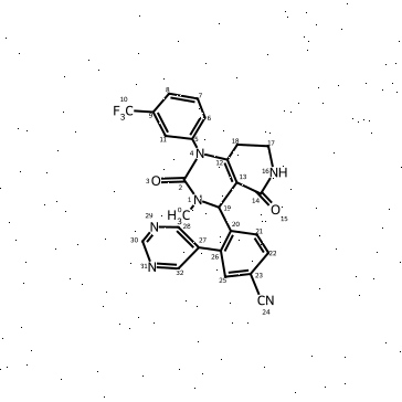 CN1C(=O)N(c2cccc(C(F)(F)F)c2)C2=C(C(=O)NCC2)C1c1ccc(C#N)cc1-c1cncnc1